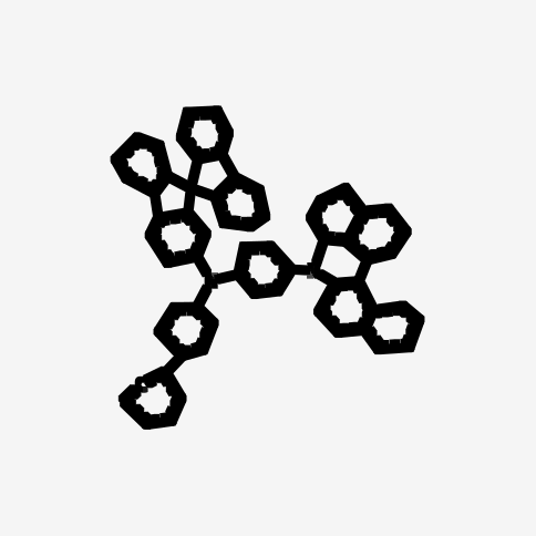 c1ccc(-c2ccc(N(c3ccc(N4c5ccc6ccccc6c5-c5cccc6cccc4c56)cc3)c3ccc4c(c3)C3(c5ccccc5-c5ccccc53)c3ccccc3-4)cc2)cc1